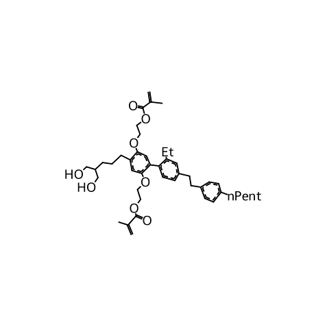 C=C(C)C(=O)OCCOc1cc(-c2ccc(CCc3ccc(CCCCC)cc3)cc2CC)c(OCCOC(=O)C(=C)C)cc1CCCC(CO)CO